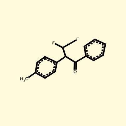 Cc1ccc(C(C(=O)c2ccccc2)C(F)F)cc1